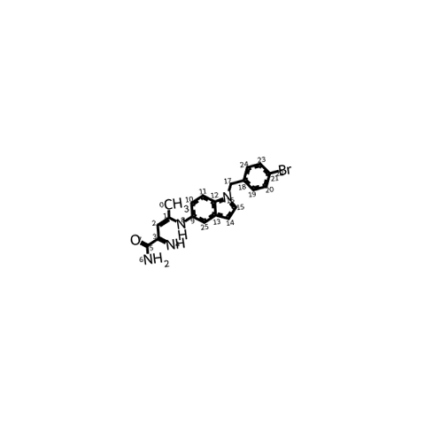 C/C(=C/C(=N)C(N)=O)Nc1ccc2c(ccn2Cc2ccc(Br)cc2)c1